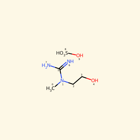 CN(CCO)C(=N)N.O=S(=O)(O)O